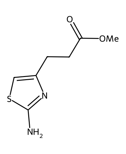 COC(=O)CCc1csc(N)n1